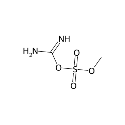 COS(=O)(=O)OC(=N)N